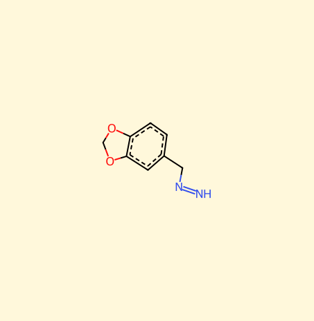 N=NCc1ccc2c(c1)OCO2